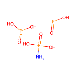 NP(=O)(O)O.O=PO.O=[PH](O)O